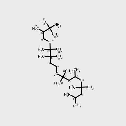 CC(N)CC(C)(C)OC(C)CC(C)(C)OCCC(C)(C)C(C)(C)OCC(C)C(C)(C)N